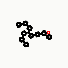 c1ccc(-c2cccc(-c3cccc(C(c4cccc(-c5ccc(-c6ccc7oc8ccccc8c7c6)cc5)c4)c4cccc(-c5cccc(-c6ccccc6)c5)c4)c3)c2)cc1